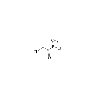 CB(C)C(=O)CCl